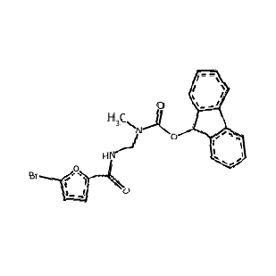 CN(CNC(=O)c1ccc(Br)o1)C(=O)OC1c2ccccc2-c2ccccc21